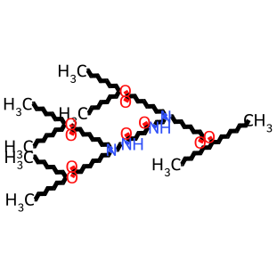 CCCCCCCCC(CCCCCCCC)OC(=O)CCCCCCCN(CCCCCCCC(=O)OC(CCCCCCCC)CCCCCCCC)CCNC(=O)CCCC(=O)NCCN(CCCCCCCC(=O)OC(CCCCCCCC)CCCCCCCC)CCCCCCCC(=O)OC(CCCCCCCC)CCCCCCCC